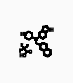 O=C(O)C(F)(F)F.c1ccc2cc(CN(c3ccc4[nH]ccc4c3)C3CCNCC3)ccc2c1